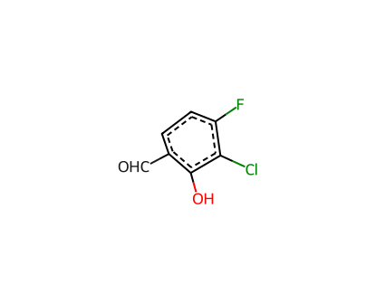 O=Cc1ccc(F)c(Cl)c1O